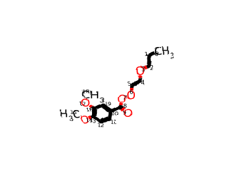 CCCOC[CH]OOC(=O)c1ccc(OC)c(OC)c1